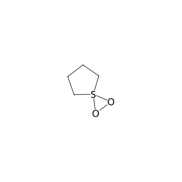 C1CCS2(C1)OO2